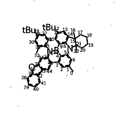 Cc1cc2c3c(c1)N1c4c(cc(C(C)(C)C)cc4C4(C)CCCCC14C)B3N(c1ccc(C(C)(C)C)cc1C)c1cc3oc4ccccc4c3cc1-2